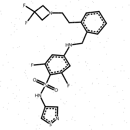 O=S(=O)(Nc1cnsc1)c1c(F)cc(NCc2ccccc2CCN2CC(F)(F)C2)cc1F